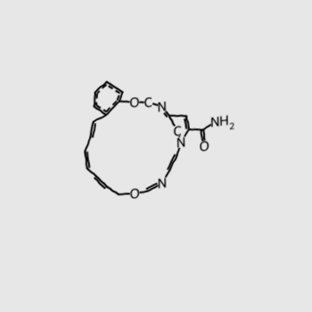 NC(=O)C1=CC2=NCOc3ccccc3C=CC=CC=CCOC=NC=CN1C2